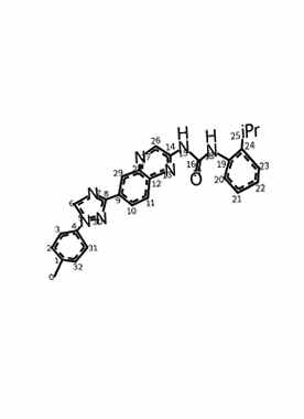 Cc1ccc(-n2cnc(-c3ccc4nc(NC(=O)Nc5ccccc5C(C)C)cnc4c3)n2)cc1